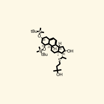 CC(SCCC(C)(C)O)[C@H]1[C@@H](O)C[C@H]2C3=CC=C4C[C@@H](O[Si](C)(C)C(C)(C)C)C[C@H](O[Si](C)(C)C(C)(C)C)[C@]4(C)[C@H]3CC[C@@]21C